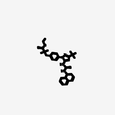 CCOC(=O)C(C)(C)Cc1ccc(-n2nc(C(C)(C)C)cc2NC(=O)Nc2cccc3ccccc23)cc1